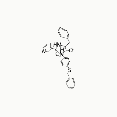 O=C(N[C@@H](Cc1ccccc1)C(=O)Nc1ccc(SCc2ccccc2)cc1)c1cccnc1